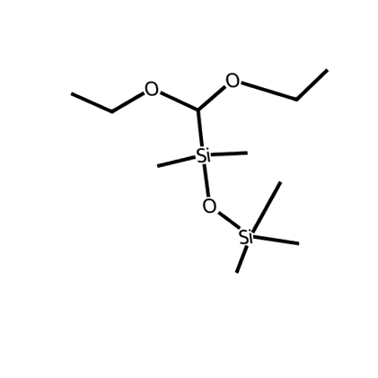 CCOC(OCC)[Si](C)(C)O[Si](C)(C)C